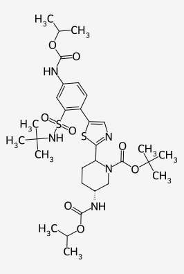 CC(C)OC(=O)Nc1ccc(-c2cnc(C3CC[C@@H](NC(=O)OC(C)C)CN3C(=O)OC(C)(C)C)s2)c(S(=O)(=O)NC(C)(C)C)c1